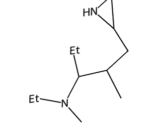 CCC(C(C)CC1CN1)N(C)CC